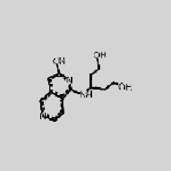 N#Cc1cc2cnccc2c(NC(CCO)CCO)n1